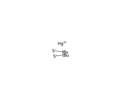 CC(C)(C)[S-].CC(C)(C)[S-].[Hg+2]